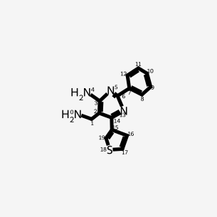 NCc1c(N)nc(-c2ccccc2)nc1-c1ccsc1